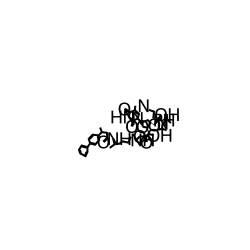 Cc1cn([C@H]2C[C@H](O[PH](O)(CCC#N)N(C(C)C)C(C)C)[C@@H](C(O)C(=O)ONCCCCC(C)NC(=O)CC(C)c3ccc(-c4ccccc4)cc3)O2)c(=O)[nH]c1=O